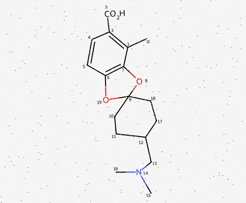 Cc1c(C(=O)O)ccc2c1OC1(CCC(CN(C)C)CC1)O2